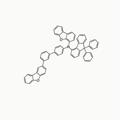 c1ccc(C2(c3ccccc3)c3ccccc3-c3c(N(c4ccc(-c5cccc(-c6ccc7oc8ccccc8c7c6)c5)cc4)c4cccc5c4oc4ccccc45)cccc32)cc1